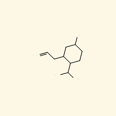 C=CCC1CC(C)CCC1C(C)C